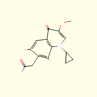 NC(=O)Cc1c(F)cc2c(=O)c(OC(=O)O)cn(C3CC3)c2c1F